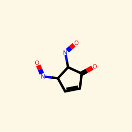 O=NC1C=CC(=O)C1N=O